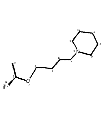 CC(C)[C@@H](C)OCCCCN1CCCCC1